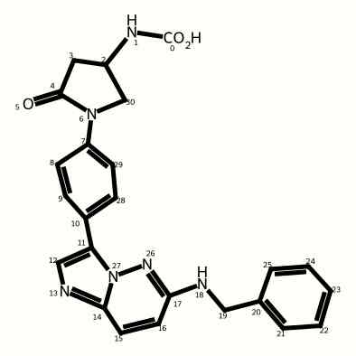 O=C(O)NC1CC(=O)N(c2ccc(-c3cnc4ccc(NCc5ccccc5)nn34)cc2)C1